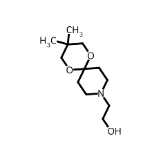 CC1(C)COC2(CCN(CCO)CC2)OC1